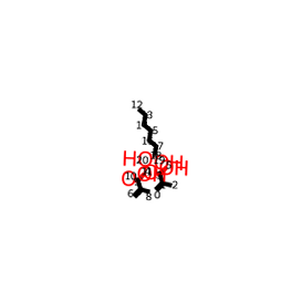 C=C(C)C(=O)O.C=C(C)C(=O)O.CCCCCCC(O)O